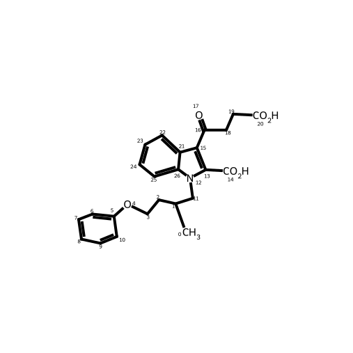 CC(CCOc1ccccc1)Cn1c(C(=O)O)c(C(=O)CCC(=O)O)c2ccccc21